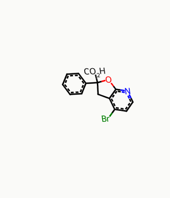 O=C(O)C1(c2ccccc2)Cc2c(Br)ccnc2O1